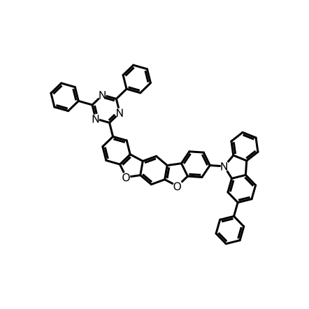 c1ccc(-c2ccc3c4ccccc4n(-c4ccc5c(c4)oc4cc6oc7ccc(-c8nc(-c9ccccc9)nc(-c9ccccc9)n8)cc7c6cc45)c3c2)cc1